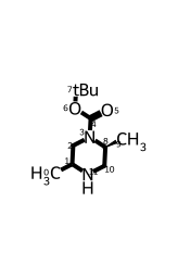 CC1CN(C(=O)OC(C)(C)C)[C@@H](C)CN1